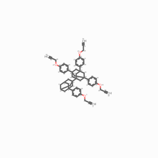 C#CCOc1ccc(C23CC4CC(C2)CC(C25CC6(c7ccc(OCC#C)cc7)CC(c7ccc(OCC#C)cc7)(CC(c7ccc(OCC#C)cc7)(C6)C2)C5)(C4)C3)cc1